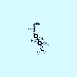 CCCCOC[C@@H](O)COc1ccc(C(C)(C)c2ccc(OC[C@@H](C)CCl)c(C)c2)cc1